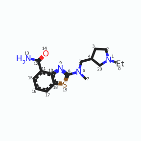 CCN1CCC(CN(C)c2nc3c(C(N)=O)c[c]cc3s2)C1